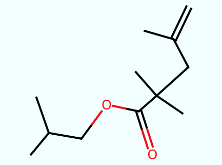 C=C(C)CC(C)(C)C(=O)OCC(C)C